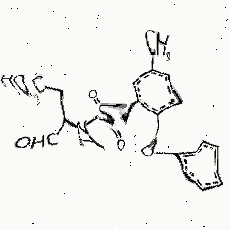 Cc1ccc(Oc2ccccc2)c(S(=O)(=O)NC(C=O)CC(=O)O)c1